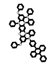 c1ccc(Oc2cc3c4c(c2)N(c2ccc(-c5c6ccccc6c(-c6ccccc6)c6ccccc56)cc2)c2ccccc2B4c2cc4c(cc2O3)N(c2ccccc2)c2cc(Oc3ccccc3)cc3c2B4c2ccccc2N3c2ccccc2)cc1